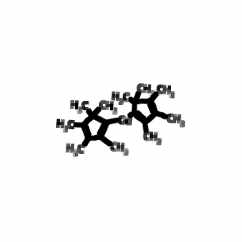 CC1=C(C)C(C)(C)[C]([Gd][C]2=C(C)C(C)=C(C)C2(C)C)=C1C